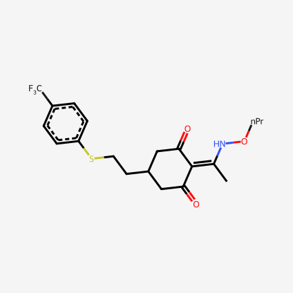 CCCONC(C)=C1C(=O)CC(CCSc2ccc(C(F)(F)F)cc2)CC1=O